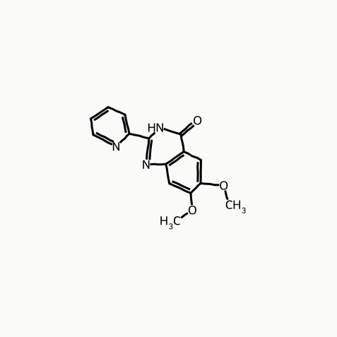 COc1cc2nc(-c3ccccn3)[nH]c(=O)c2cc1OC